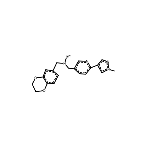 CCCN(Cc1ccc(-c2cnn(C)c2)nc1)Cc1ccc2c(c1)OCCO2